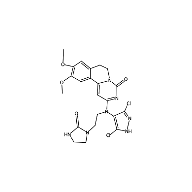 COc1cc2c(cc1OC)-c1cc(N(CCN3CCNC3=O)c3c(Cl)n[nH]c3Cl)nc(=O)n1CC2